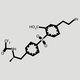 CC(C)CCc1ccc(S(=O)(=O)c2ccc(C[C@@H](C)NC(=O)C(F)(F)F)cc2)c(C(=O)O)c1